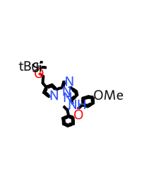 COc1ccc(COc2ccccc2C(C)Nc2ccc3ncc(-c4cc(CCO[Si](C)(C)C(C)(C)C)ccn4)n3n2)cc1